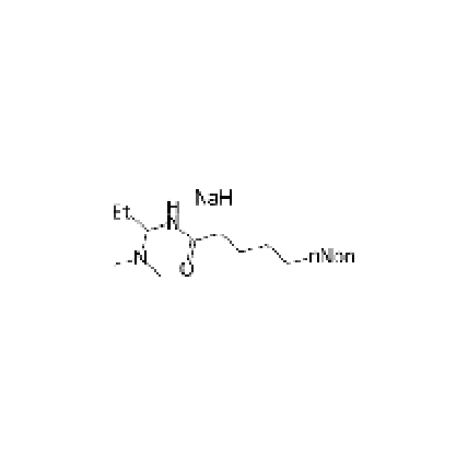 CCCCCCCCCCCCCC(=O)NC(CC)N(C)C.[NaH]